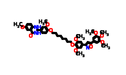 COc1ccc2c(c1)C(=O)NC(c1ccc(OCCCCCCCCOc3c(OC)cc(-c4cc(-c5cc(OC)c(OC)c(OC)c5)on4)cc3OC)c(OC)c1)N2